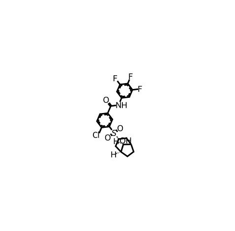 O=C(Nc1cc(F)c(F)c(F)c1)c1ccc(Cl)c(S(=O)(=O)[C@@H]2CC3CC[C@@H](C2)[C@H]3O)c1